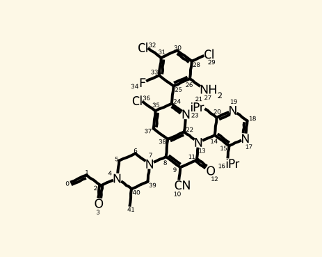 C=CC(=O)N1CCN(c2c(C#N)c(=O)n(-c3c(C(C)C)ncnc3C(C)C)c3nc(-c4c(N)c(Cl)cc(Cl)c4F)c(Cl)cc23)CC1C